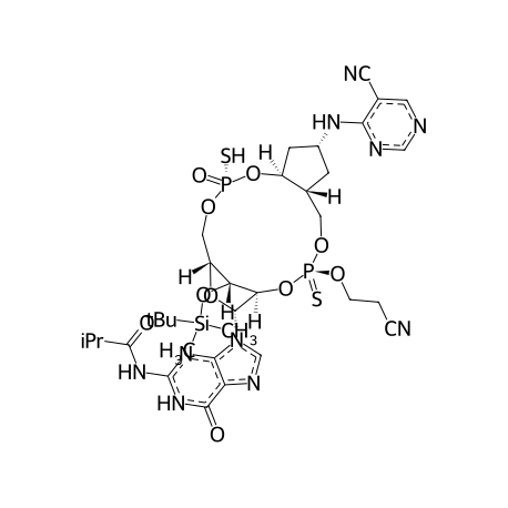 CC(C)C(=O)Nc1nc2c(ncn2[C@@H]2O[C@@H]3CO[P@](=O)(S)O[C@H]4C[C@H](Nc5ncncc5C#N)C[C@@H]4CO[P@@](=S)(OCCC#N)O[C@@H]2[C@@H]3O[Si](C)(C)C(C)(C)C)c(=O)[nH]1